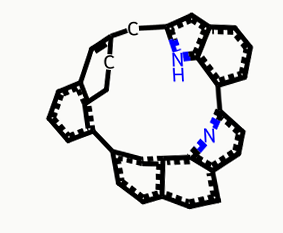 C1=C2CCc3c1cccc3-c1ccc3ccc4ccc(nc4c3c1)-c1cccc3cc([nH]c13)C2